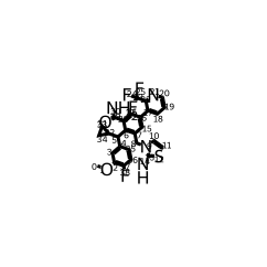 COc1cc(C(c2c(Cn3ccsc3=N)cc(-c3cccnc3C(F)(F)F)cc2C(N)=O)C2CC2)ccc1F